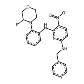 O=[N+]([O-])c1ccc(NCc2ccncc2)nc1Nc1ccccc1N1CCOCC1F